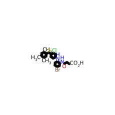 Cc1cc(C)c(C(=S)c2ccc(Nc3ccc(Br)cc3NC(=O)CCC(=O)O)cc2Cl)cc1C